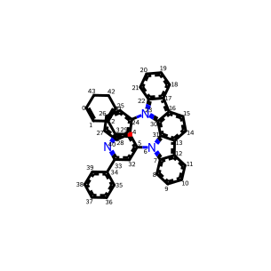 C1=CC(c2cc(-n3c4ccccc4c4ccc5c6ccccc6n(-c6ccccc6)c5c43)cc(-c3ccccc3)n2)=CCC1